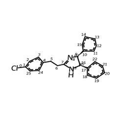 Clc1ccc(CCC2=N[C@@H](c3ccccc3)[C@@H](c3ccccc3)N2)cc1